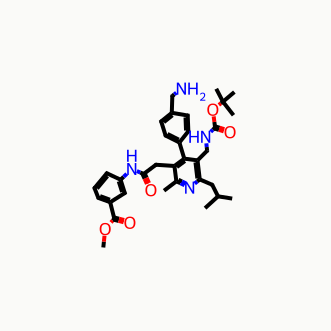 COC(=O)c1cccc(NC(=O)Cc2c(C)nc(CC(C)C)c(CNC(=O)OC(C)(C)C)c2-c2ccc(CN)cc2)c1